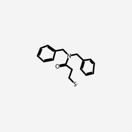 O=C(CC[S])N(Cc1ccccc1)Cc1ccccc1